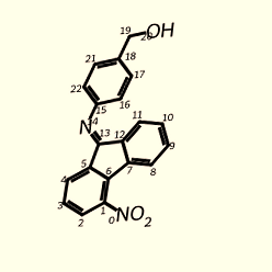 O=[N+]([O-])c1cccc2c1-c1ccccc1C2=Nc1ccc(CO)cc1